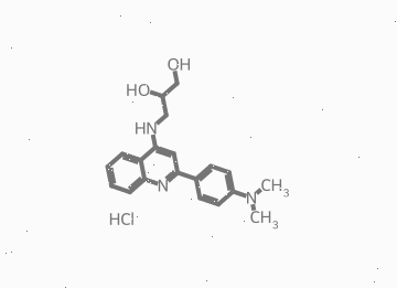 CN(C)c1ccc(-c2cc(NCC(O)CO)c3ccccc3n2)cc1.Cl